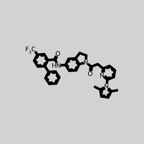 Cc1ccc(C)n1-c1cccc(CC(=O)N2CCc3cc(NC(=O)c4cc(C(F)(F)F)ccc4-c4ccccc4)ccc32)n1